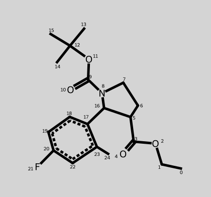 CCOC(=O)C1CCN(C(=O)OC(C)(C)C)C1c1ccc(F)cc1C